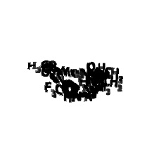 CNC(=O)[C@H]1C[C@H]2C[C@H](C2(C)C)[C@@]1(C)Nc1nc(Nc2ccc(N3CCN(S(C)(=O)=O)CC3)c(C(F)(F)F)c2)ncc1F